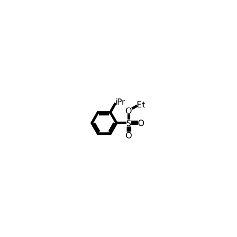 CCOS(=O)(=O)c1ccccc1C(C)C